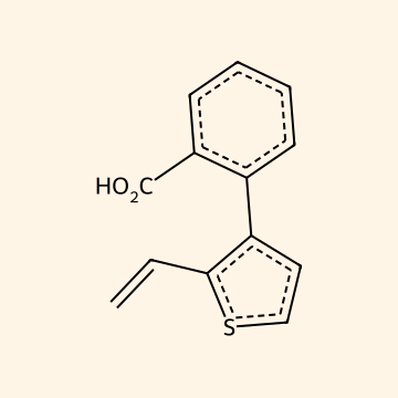 C=Cc1sccc1-c1ccccc1C(=O)O